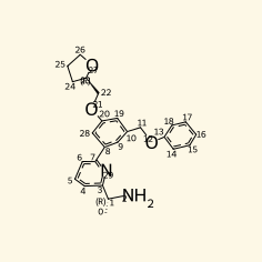 C[C@@H](N)c1cccc(-c2cc(COc3ccccc3)cc(OC[C@H]3CCCO3)c2)n1